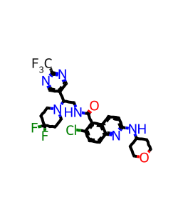 O=C(NCC(c1cnc(C(F)(F)F)nc1)N1CCC(F)(F)CC1)c1c(Cl)ccc2nc(NC3CCOCC3)ccc12